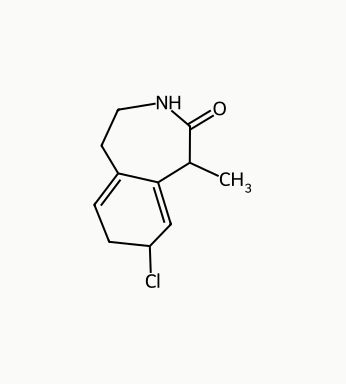 CC1C(=O)NCCC2=CCC(Cl)C=C21